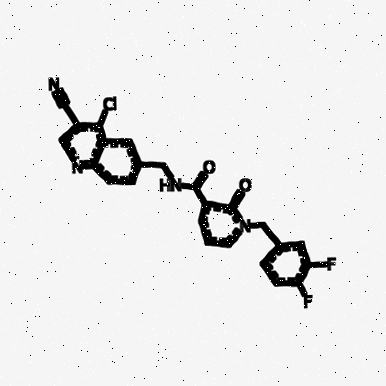 N#Cc1cnc2ccc(CNC(=O)c3cccn(Cc4ccc(F)c(F)c4)c3=O)cc2c1Cl